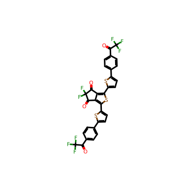 O=C(c1ccc(-c2ccc(-c3sc(-c4ccc(-c5ccc(C(=O)C(F)(F)F)cc5)s4)c4c3C(=O)C(F)(F)C4=O)s2)cc1)C(F)(F)F